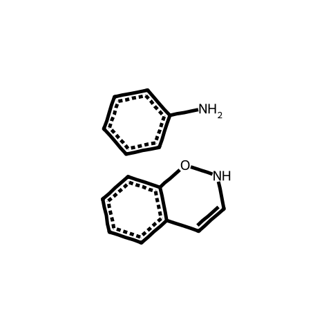 C1=Cc2ccccc2ON1.Nc1ccccc1